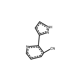 N#Cc1cccnc1-c1cc[nH]n1